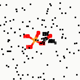 O=P(O)(O)O.[AlH3].[LiH].[O]=[Ti]